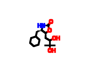 CC(C)(O)C(O)C[C@@H]1OC(=O)N[C@H]1CC1CCCCC1